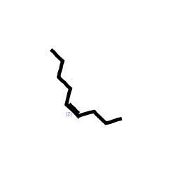 CCC/[C]=C\CCCC